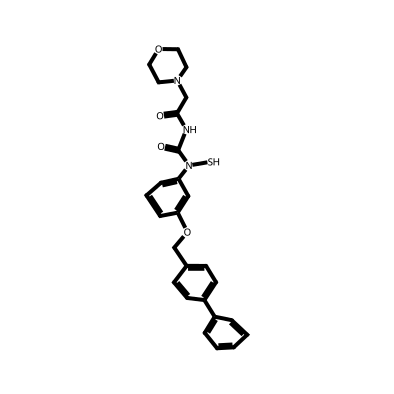 O=C(CN1CCOCC1)NC(=O)N(S)c1cccc(OCc2ccc(-c3ccccc3)cc2)c1